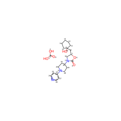 O=C(O)O.O=C1OC(CC2(O)CCCCC2)CN1C1CCN(c2ccncc2)CC1